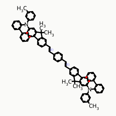 Cc1cccc(N(c2ccc3c(c2)C(C)(C)c2cc(/C=C/c4ccc(/C=C/c5ccc6c(c5)C(C)(C)c5cc(N(c7cccc(C)c7)c7ccccc7-c7ccccc7)ccc5-6)cc4)ccc2-3)c2ccccc2-c2ccccc2)c1